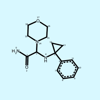 NC(=O)C(NC1(c2ccccc2)CC1)N1CCOCC1